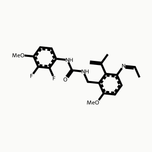 C=C(C)c1c(/N=C\C)ccc(OC)c1CNC(=O)Nc1ccc(OC)c(F)c1F